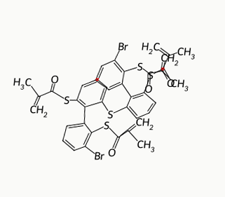 C=C(C)C(=O)Sc1cccc(Sc2cccc(SC(=O)C(=C)C)c2-c2cccc(Br)c2SC(=O)C(=C)C)c1-c1cccc(Br)c1SC(=O)C(=C)C